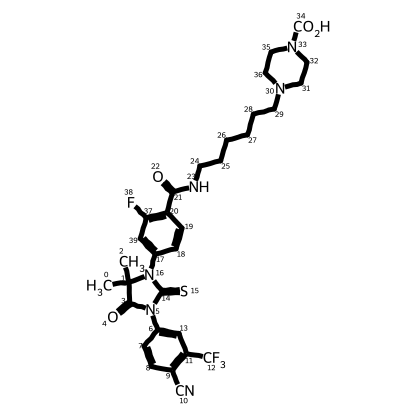 CC1(C)C(=O)N(c2ccc(C#N)c(C(F)(F)F)c2)C(=S)N1c1ccc(C(=O)NCCCCCCN2CCN(C(=O)O)CC2)c(F)c1